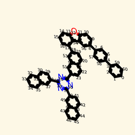 c1ccc(-c2ccc(-c3ccc4oc5cccc(-c6ccc7ccc(-c8nc(-c9ccc%10ccccc%10c9)nc(-c9ccc%10ccccc%10c9)n8)cc7c6)c5c4c3)cc2)cc1